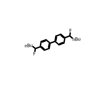 CCCCC(F)c1ccc(-c2ccc(C(F)CCCC)cc2)cc1